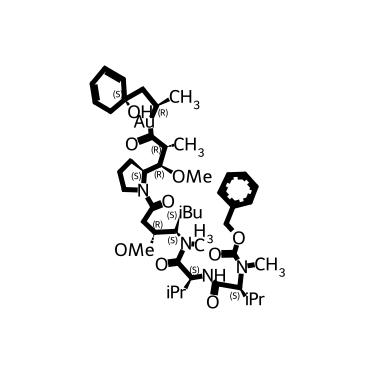 CC[C@H](C)[C@@H]([C@@H](CC(=O)N1CCC[C@H]1[C@H](OC)[C@@H](C)[C](=O)[Au][C@H](C)C[C@]1(O)C=CC=CC1)OC)N(C)C(=O)[C@@H](NC(=O)[C@H](C(C)C)N(C)C(=O)OCc1ccccc1)C(C)C